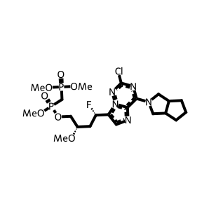 CO[C@H](COP(=O)(CP(=O)(OC)OC)OC)C[C@H](F)c1cnc2c(N3CC4CCCC4C3)nc(Cl)nn12